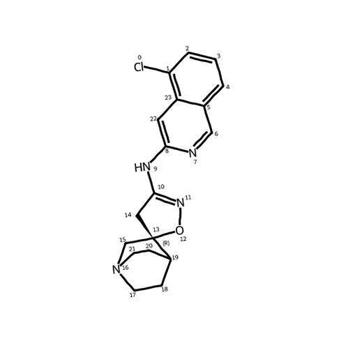 Clc1cccc2cnc(NC3=NO[C@@]4(C3)CN3CCC4CC3)cc12